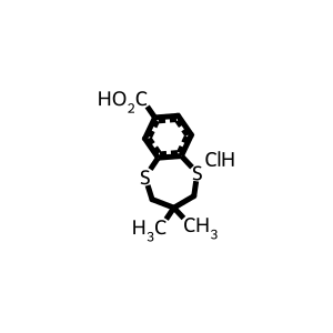 CC1(C)CSc2ccc(C(=O)O)cc2SC1.Cl